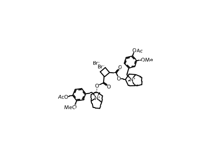 COc1cc(C[N+]2(C)C3CCC2CC(OC(=O)C2CCC2C(=O)O[C@H]2CC4CCC(C2)[N@@+]4(C)Cc2ccc(OC(C)=O)c(OC)c2)C3)ccc1OC(C)=O.[Br-].[Br-]